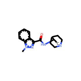 Cn1nc(C(=O)NC2CN3CCC2CC3)c2ccccc21